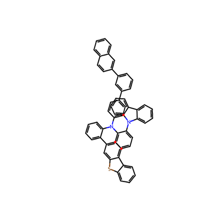 c1cc(-c2ccc(N(c3ccccc3-c3ccc4c(c3)sc3ccccc34)c3ccccc3-n3c4ccccc4c4ccccc43)cc2)cc(-c2ccc3ccccc3c2)c1